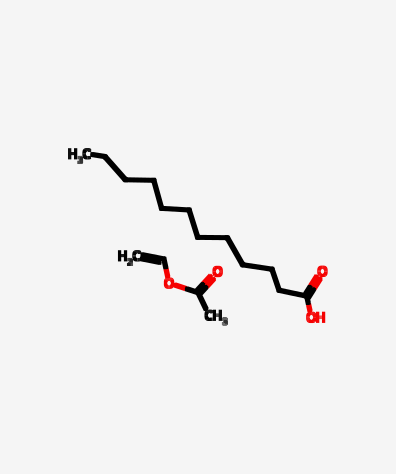 C=COC(C)=O.CCCCCCCCCCCC(=O)O